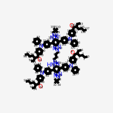 CCCCC(CC)C(=O)c1ccc(N(c2ccccc2)c2ccc(C3=c4n[n+](CC(C)(C)C)[n-]c4=C(c4ccc(N(c5ccccc5)c5ccc(C(=O)C(CC)CCCC)cc5)cc4)C4NN(CCCCn5nc6c(-c7ccc(N(c8ccccc8)c8ccc(C(=O)C(CC)CCCC)cc8)cc7)c7n[n+](CC(C)(C)C)[n-]c7c(-c7ccc(N(c8ccccc8)c8ccc(C(=O)C(CC)CCCC)cc8)cc7)c6n5)N=C34)cc2)cc1